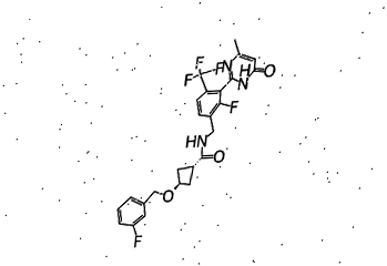 Cc1cc(=O)[nH]c(-c2c(C(F)(F)F)ccc(CNC(=O)[C@H]3C[C@H](OCc4cccc(F)c4)C3)c2F)n1